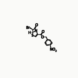 O=C(OCc1ccc([N+](=O)[O-])cc1)C1=CS[C@H]2[C@@H](Br)C(=O)N12